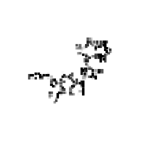 CCCCCCCCOc1ccc(Nc2nc(-c3cccc4nsnc34)cs2)cc1C(F)(F)F